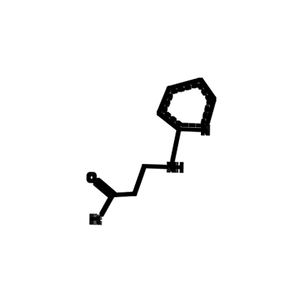 CCC(=O)CCNc1ccccn1